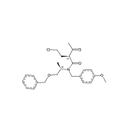 COc1ccc(CN(C(=O)[C@@H](CCCl)C(C)=O)[C@H](C)COCc2ccccc2)cc1